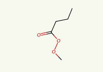 CCCC(=O)OOC